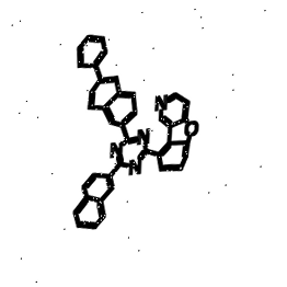 c1ccc(-c2ccc3cc(-c4nc(-c5ccc6ccccc6c5)nc(-c5cccc6oc7ccncc7c56)n4)ccc3c2)cc1